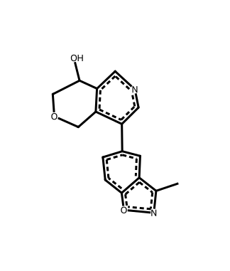 Cc1noc2ccc(-c3cncc4c3COCC4O)cc12